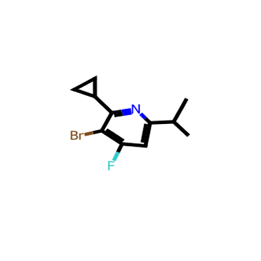 CC(C)c1cc(F)c(Br)c(C2CC2)n1